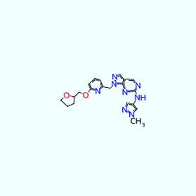 Cn1cc(Nc2ncc3cnn(Cc4cccc(OCC5CCCO5)n4)c3n2)cn1